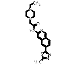 CCN1CCN(CC(=O)Nc2cc3cc(-c4nnc(C)s4)ccc3cn2)CC1